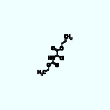 C=CCOC(=O)C(Cl)NC(=O)OCC